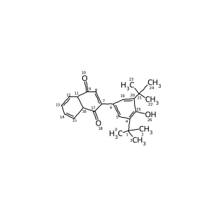 CC(C)(C)c1cc(C2=CC(=O)C3C=CC=CC3C2=O)cc(C(C)(C)C)c1O